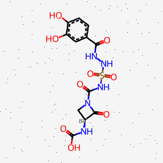 O=C(O)N[C@H]1CN(C(=O)NS(=O)(=O)NNC(=O)c2ccc(O)c(O)c2)C1=O